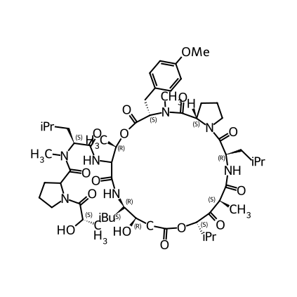 CC[C@H](C)[C@H]1NC(=O)C(NC(=O)[C@H](CC(C)C)N(C)C(=O)C2CCCN2C(=O)[C@H](C)O)[C@@H](C)OC(=O)[C@H](Cc2ccc(OC)cc2)N(C)C(=O)[C@@H]2CCCN2C(=O)[C@@H](CC(C)C)NC(=O)[C@@H](C)C(=O)[C@H](C(C)C)OC(=O)C[C@H]1O